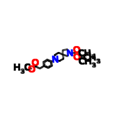 COC(=O)Cc1ccc(N2CCC3(CCN(C(=O)OC(C)(C)C)C3)CC2)cc1